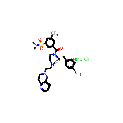 CN(C)S(=O)(=O)c1cc(C(=O)N2CCN(CCN3CCc4ncccc4C3)C[C@H]2Cc2ccc(C(F)(F)F)cc2)cc(C(F)(F)F)c1.Cl.Cl.Cl